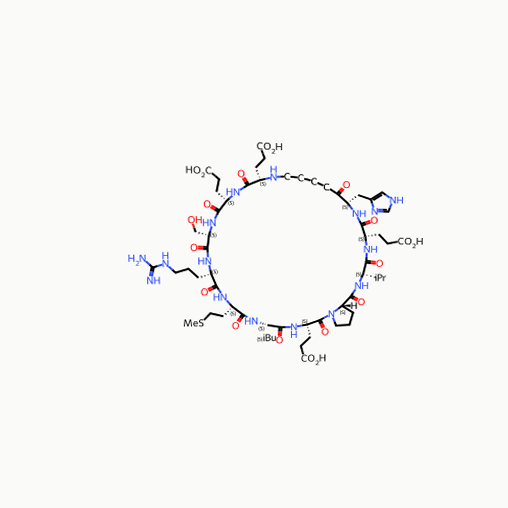 CC[C@H](C)[C@@H]1NC(=O)[C@H](CCSC)NC(=O)[C@H](CCCNC(=N)N)NC(=O)[C@H](CO)NC(=O)[C@H](CCC(=O)O)NC(=O)[C@H](CCC(=O)O)NCCCCC(=O)[C@H](Cc2c[nH]cn2)NC(=O)[C@H](CCC(=O)O)NC(=O)[C@H](C(C)C)NC(=O)[C@@H]2CCCN2C(=O)[C@H](CCC(=O)O)NC1=O